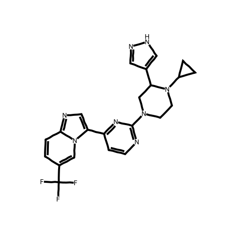 FC(F)(F)c1ccc2ncc(-c3ccnc(N4CCN(C5CC5)C(c5cn[nH]c5)C4)n3)n2c1